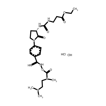 CCOC(=O)CCNC(=O)N[C@H]1CCN(c2ccc(C(=N)NOC(=O)N(C)CCN(C)C)cc2)C1=O.Cl.Cl